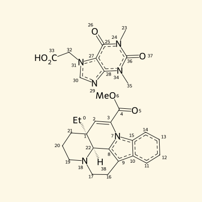 CC[C@@]12C=C(C(=O)OC)n3c4c(c5ccccc53)CCN(CCC1)[C@H]42.Cn1c(=O)c2c(ncn2CC(=O)O)n(C)c1=O